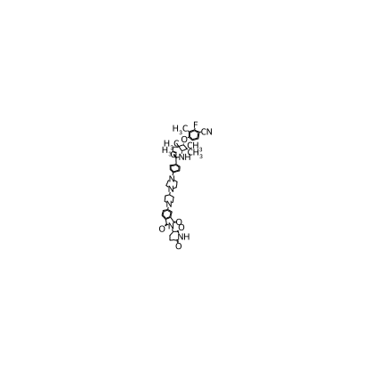 Cc1c(O[C@H]2C(C)(C)[C@H](NC(=O)c3ccc(N4CCN(C5CCN(c6ccc7c(c6)C(=O)N(C6CCC(=O)NC6=O)C7=O)CC5)CC4)cc3)C2(C)C)ccc(C#N)c1F